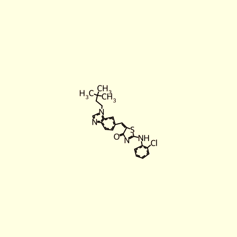 CC(C)(C)CCn1cnc2ccc(C=C3SC(Nc4ccccc4Cl)=NC3=O)cc21